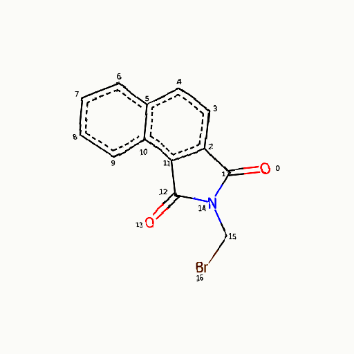 O=C1c2ccc3ccccc3c2C(=O)N1CBr